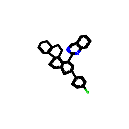 Clc1ccc(-c2cc(-c3ncc4ccccc4n3)c3c4c(ccc3c2)C2=C(CCC=C2)CC4)cc1